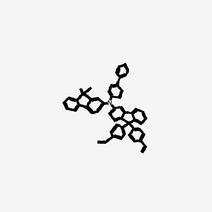 C=Cc1ccc(C2(c3ccc(C=C)cc3)c3ccccc3-c3cc(N(c4ccc(-c5ccccc5)cc4)c4ccc5c(c4)C(C)(C)c4ccccc4-5)ccc32)cc1